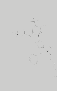 C[C@@H](O)CCCCC[C@@](OCc1ccccc1)(c1nnc(-c2nc(Br)c(C(F)(F)F)cc2NC(=O)OC(C)(C)C)o1)C(F)(F)F